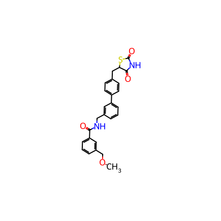 COCc1cccc(C(=O)NCc2cccc(-c3ccc(CC4SC(=O)NC4=O)cc3)c2)c1